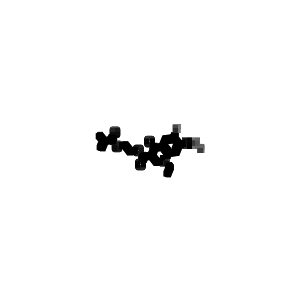 C=C(C)C(=O)OCCOC(=O)C1CN(CC)c2cc(N)c(F)cc2C1=O